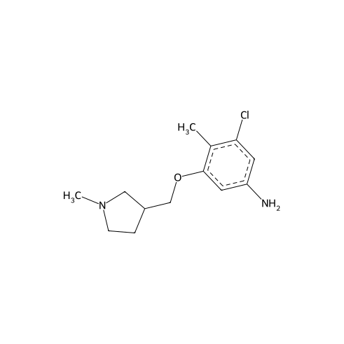 Cc1c(Cl)cc(N)cc1OCC1CCN(C)C1